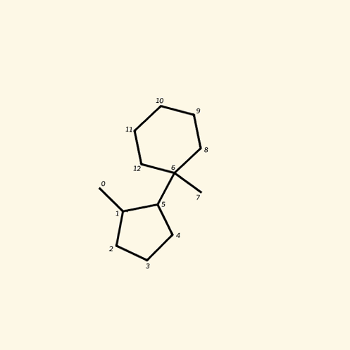 C[C]1CCCC1C1(C)CCCCC1